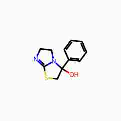 OC1(c2ccccc2)CSC2=NCCN21